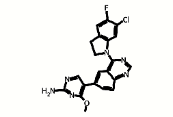 COc1nc(N)ncc1-c1ccc2ncnc(N3CCc4cc(F)c(Cl)cc43)c2c1